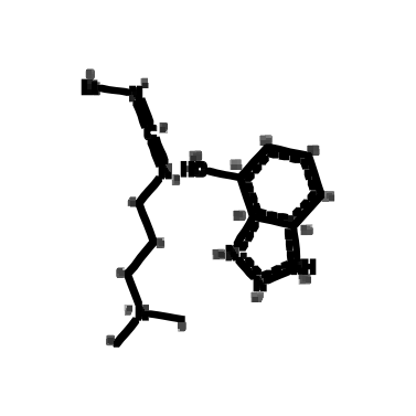 CCN=C=NCCCN(C)C.Oc1cccc2[nH]nnc12